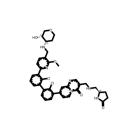 COc1nc(-c2cccc(-c3cccc(-c4ccn5c(=O)c(CNC[C@H]6CCC(=O)N6)cnc5c4)c3Cl)c2Cl)ccc1CN[C@H]1CCOC[C@H]1O